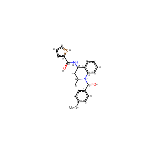 COc1ccc(C(=O)N2c3ccccc3C(NC(=O)c3cccs3)CC2C)cc1